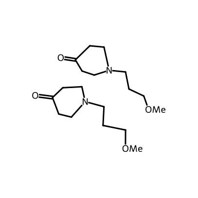 COCCCN1CCC(=O)CC1.COCCCN1CCC(=O)CC1